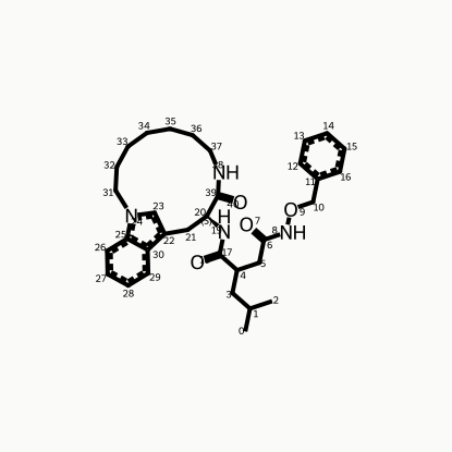 CC(C)CC(CC(=O)NOCc1ccccc1)C(=O)N[C@H]1Cc2cn(c3ccccc23)CCCCCCCNC1=O